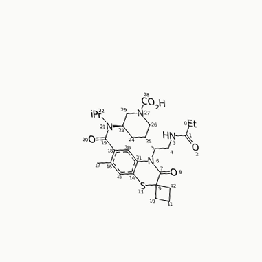 CCC(=O)NCCN1C(=O)C2(CCC2)Sc2cc(C)c(C(=O)N(C(C)C)[C@@H]3CCCN(C(=O)O)C3)cc21